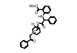 COC(=O)c1ccccc1NC(C(=O)O[C@H]1C[N+]2(CC(=O)c3ccccc3)CCC1CC2)c1ccccc1